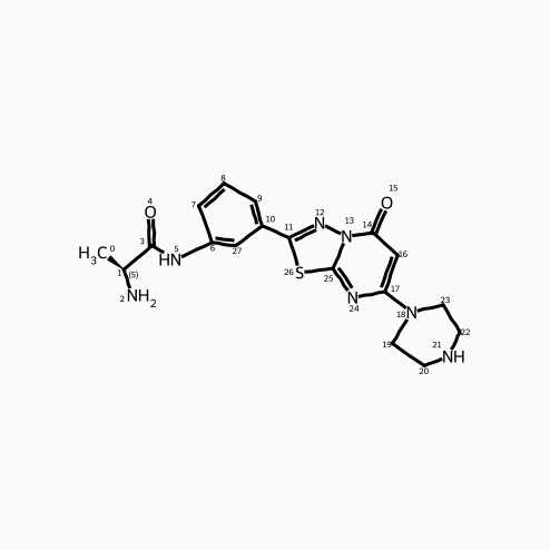 C[C@H](N)C(=O)Nc1cccc(-c2nn3c(=O)cc(N4CCNCC4)nc3s2)c1